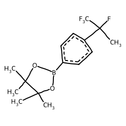 CC1(C)OB(c2ccc(C(C)(F)C(F)(F)F)cc2)OC1(C)C